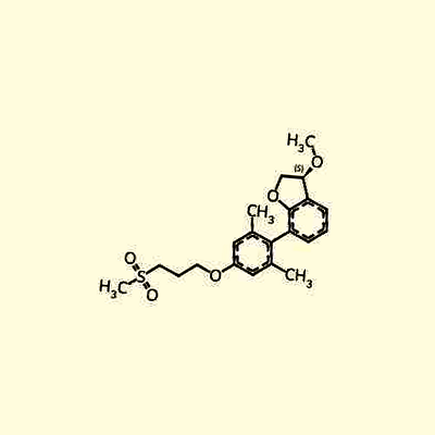 CO[C@@H]1COc2c(-c3c(C)cc(OCCCS(C)(=O)=O)cc3C)cccc21